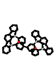 c1ccc(-n2c3ccccc3c3ccc4c5ccccc5n(-c5ccc(-c6cccc(-n7c8ccccc8c8ccc9c%10ccccc%10n(-c%10ccccc%10)c9c87)c6)cc5)c4c32)cc1